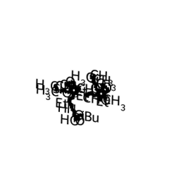 CCC(=CCc1c(CC)c(C)c2c(c1OCC[Si](C)(C)C)C(=O)OC2)CNCCP(=O)(O)OC(C)CC.CCC(C=O)=CCc1c(CC)c(C)c2c(c1OCC[Si](C)(C)C)C(=O)OC2